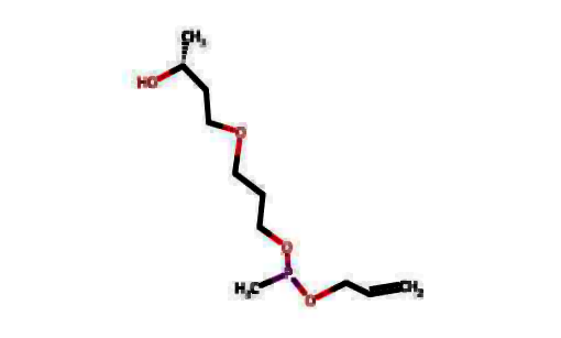 C=CCOP(C)OCCCOCC[C@@H](C)O